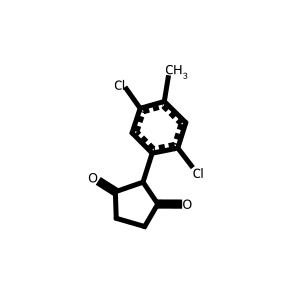 Cc1cc(Cl)c(C2C(=O)CCC2=O)cc1Cl